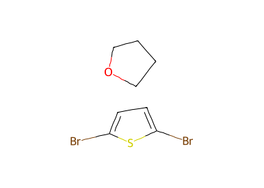 Brc1ccc(Br)s1.C1CCOC1